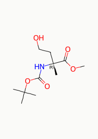 COC(=O)[C@@](C)(CCO)NC(=O)OC(C)(C)C